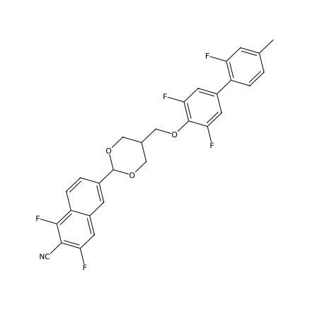 Cc1ccc(-c2cc(F)c(OCC3COC(c4ccc5c(F)c(C#N)c(F)cc5c4)OC3)c(F)c2)c(F)c1